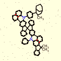 CC1CC2CCCC(C2)C1c1ccc(N(c2ccccc2)c2cc3c(cc2-c2ccccc2)-c2ccccc2C32c3ccccc3-c3cc(-c4ccccc4)c(N(c4ccccc4)c4ccc5c(c4)-c4ccccc4C5(C)C)cc32)cc1